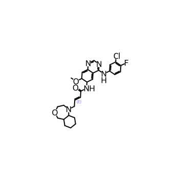 COC1C=c2ncnc(Nc3ccc(F)c(Cl)c3)c2=CC1NC(=O)/C=C/CN1CCOCC2CCCCC21